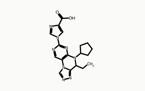 CCC1c2nncn2-c2cnc(-n3cnc(C(=O)O)c3)nc2N1C1CCCC1